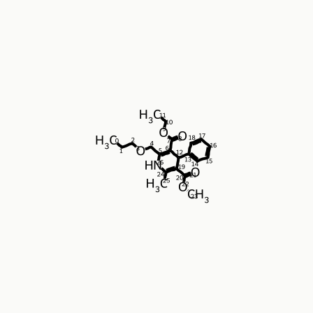 CCCOCC1=C(C(=O)OCC)C(c2ccccc2)C(C(=O)OC)=C(C)N1